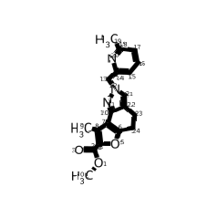 COC(=O)c1oc2c(c1C)-c1nn(Cc3cccc(C)n3)cc1CC2